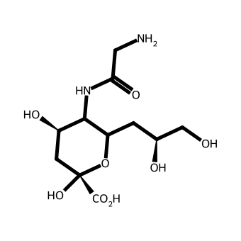 NCC(=O)NC1C(C[C@H](O)CO)O[C@@](O)(C(=O)O)C[C@H]1O